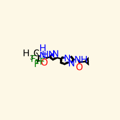 C[C@@H](NC(=O)c1cc(-c2ccc3nc(NC(=O)C4CC4)cn3c2)n[nH]1)C(F)(F)F